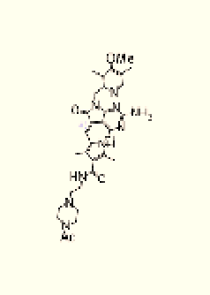 COc1c(C)cnc(CN2C(=O)/C(=C/c3[nH]c(C)c(C(=O)NCCN4CCN(C(C)=O)CC4)c3C)c3c(Cl)nc(N)nc32)c1C